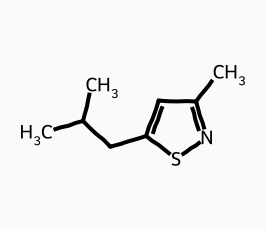 Cc1cc(CC(C)C)sn1